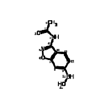 CC(=O)Nc1noc2cc(BO)ccc12